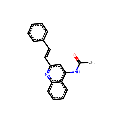 CC(=O)Nc1cc(C=Cc2ccccc2)nc2ccccc12